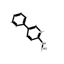 O=CNc1ccc(-c2ccccc2)cn1